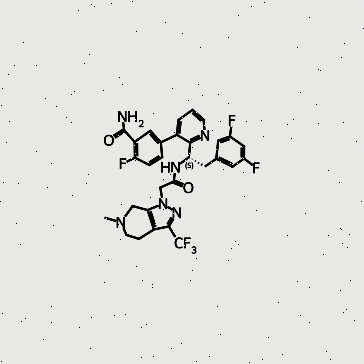 CN1CCc2c(C(F)(F)F)nn(CC(=O)N[C@@H](Cc3cc(F)cc(F)c3)c3ncccc3-c3ccc(F)c(C(N)=O)c3)c2C1